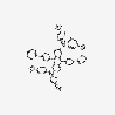 C[Si](C)(C)c1ccc(N(c2ccc([Si](C)(C)C)cc2)c2ccc3c(-c4ccc(-c5ccccc5)cc4)c4cc(N(c5ccc([Si](C)(C)C)cc5)c5ccc([Si](C)(C)C)cc5)ccc4c(-c4ccc(-c5ccccc5)cc4)c3c2)cc1